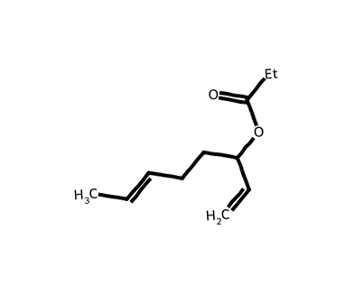 C=CC(CCC=CC)OC(=O)CC